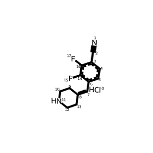 Cl.N#Cc1ccc(C=C2CCNCC2)c(F)c1F